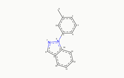 Cc1cccc(-n2ncc3ccccc32)c1